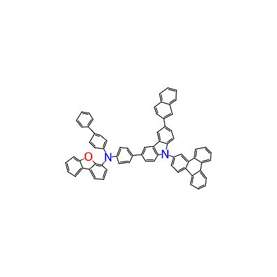 c1ccc(-c2ccc(N(c3ccc(-c4ccc5c(c4)c4cc(-c6ccc7ccccc7c6)ccc4n5-c4ccc5c6ccccc6c6ccccc6c5c4)cc3)c3cccc4c3oc3ccccc34)cc2)cc1